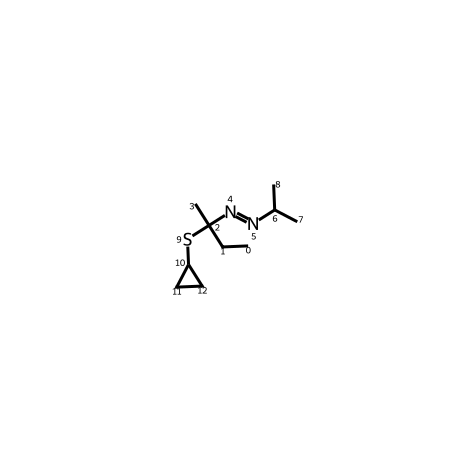 CCC(C)(/N=N/C(C)C)SC1CC1